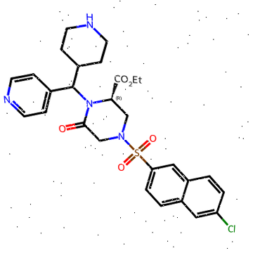 CCOC(=O)[C@H]1CN(S(=O)(=O)c2ccc3cc(Cl)ccc3c2)CC(=O)N1C(c1ccncc1)C1CCNCC1